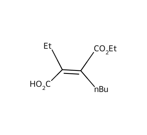 CCCCC(C(=O)OCC)=C(CC)C(=O)O